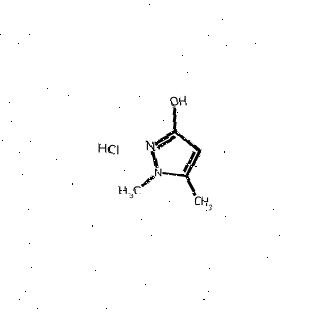 Cc1cc(O)nn1C.Cl